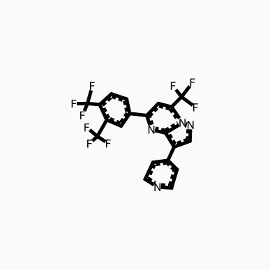 FC(F)(F)c1ccc(-c2cc(C(F)(F)F)n3ncc(-c4ccncc4)c3n2)cc1C(F)(F)F